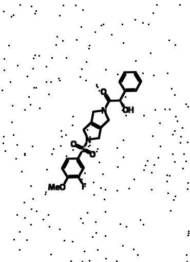 COc1ccc(S(=O)(=O)N2CC3=C(CN(C(=O)[C@H](O)c4ccccc4)C3)C2)cc1F